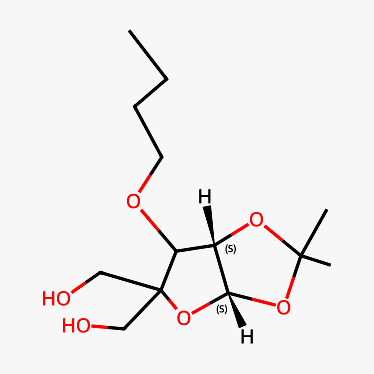 CCCCOC1[C@@H]2OC(C)(C)O[C@@H]2OC1(CO)CO